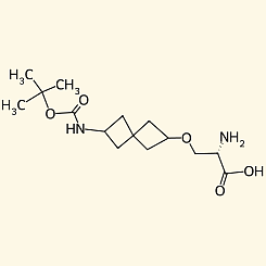 CC(C)(C)OC(=O)NC1CC2(C1)CC(OC[C@H](N)C(=O)O)C2